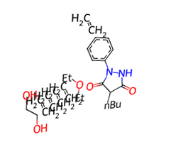 C=C.C=C.C=C.C=C.C=C.CCCCC1C(=O)NN(c2ccccc2)C1=O.CCOCC.OCCO